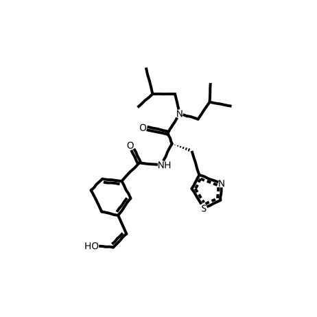 CC(C)CN(CC(C)C)C(=O)[C@H](Cc1cscn1)NC(=O)C1=CCCC(/C=C\O)=C1